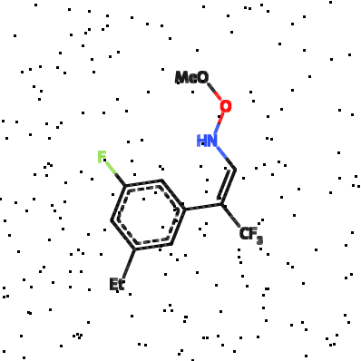 CCc1cc(F)cc(/C(=C\NOOC)C(F)(F)F)c1